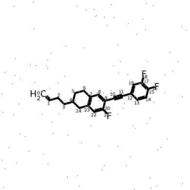 C=CCCC1CCc2cc(C#Cc3ccc(F)c(F)c3)c(F)cc2C1